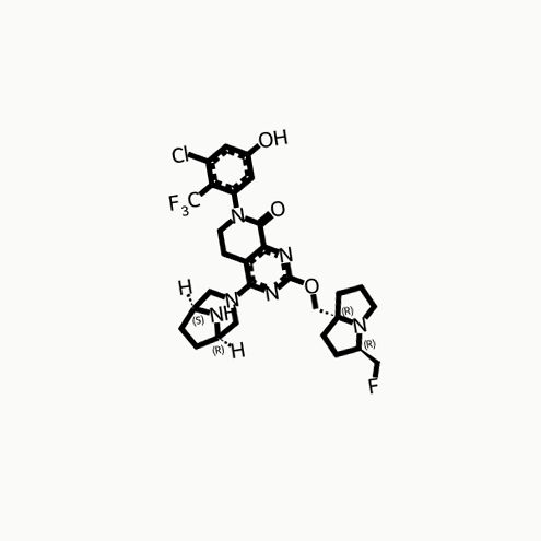 O=C1c2nc(OC[C@]34CCCN3[C@@H](CF)CC4)nc(N3C[C@H]4CC[C@@H](C3)N4)c2CCN1c1cc(O)cc(Cl)c1C(F)(F)F